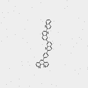 c1ccc2nc(-c3ccc4ccc(-c5ccc6ccc(-c7ccc(-c8cc9cccnc9c9ncccc89)cc7)nc6c5)cc4n3)ccc2c1